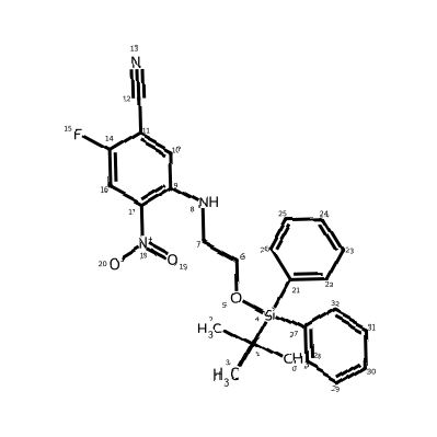 CC(C)(C)[Si](OCCNc1cc(C#N)c(F)cc1[N+](=O)[O-])(c1ccccc1)c1ccccc1